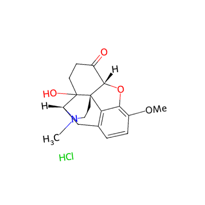 COc1ccc2c3c1O[C@H]1C(=O)CCC4(O)[C@@H](C2)N(C)CC[C@]314.Cl